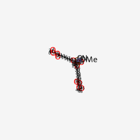 C=C(C)C(=O)OCCOC(=O)CCCCCCCCCCOc1cc(C)c(OCCCCCCCCCCC(=O)OCCOC(=O)C(=C)C)c2c1S/C(=C(\C#N)C(=O)OC)S2